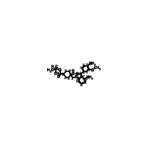 COc1cc(-c2nn(CC3(O)CCN(C(=O)OC(C)(C)C)CC3)c3ccnc(N)c23)ccc1N